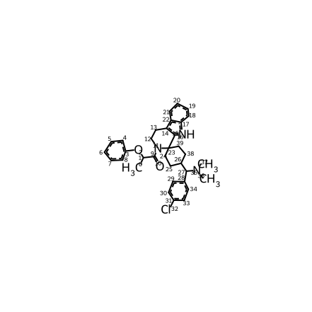 CC(Oc1ccccc1)C(=O)N1CCc2c([nH]c3ccccc23)C12CCC(C(c1ccc(Cl)cc1)N(C)C)CC2